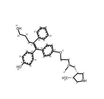 C[C@H]1CNC[C@H]1CN(I)CCOc1ccc(/C(=C(/CCCO)c2ccccc2)c2ccc(O)cc2)cc1